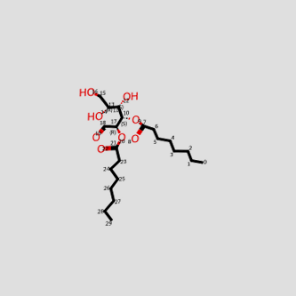 CCCCCCCC(=O)O[C@@H]([C@@H](O)[C@H](O)CO)[C@H](C=O)OC(=O)CCCCCCC